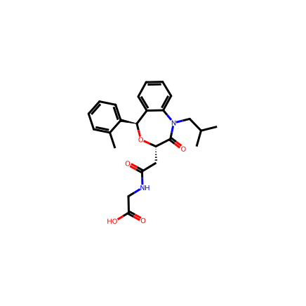 Cc1ccccc1[C@@H]1O[C@@H](CC(=O)NCC(=O)O)C(=O)N(CC(C)C)c2ccccc21